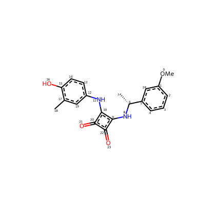 COc1cccc([C@@H](C)Nc2c(Nc3ccc(O)c(C)c3)c(=O)c2=O)c1